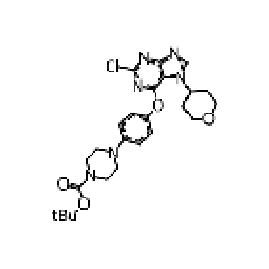 CC(C)(C)OC(=O)N1CCN(c2ccc(Oc3nc(Cl)nc4ncn(C5CCOCC5)c34)cc2)CC1